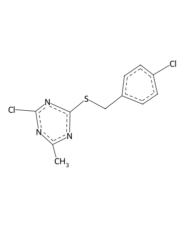 Cc1nc(Cl)nc(SCc2ccc(Cl)cc2)n1